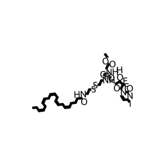 CC/C=C\C/C=C\C/C=C\C/C=C\C/C=C\CCCC(=O)NCCSSCCNP(=O)(NCC(=O)OCC)OC[C@H]1O[C@@H](n2ccc(I)nc2=O)C(F)(F)[C@@H]1O